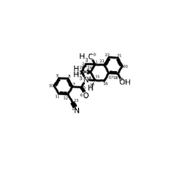 CC12CCN(C(=O)c3ccccc3C#N)[C@H](Cc3c(O)cccc31)C2(C)C